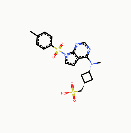 Cc1ccc(S(=O)(=O)n2ccc3c(N(C)[C@H]4C[C@@H](CS(=O)(=O)O)C4)ncnc32)cc1